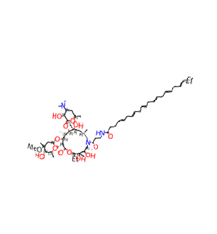 CCC=CCC=CCC=CCC=CCC=CCC=CCCC(=O)NCCC(=O)N1C[C@H](C)C[C@@](C)(O)[C@H](O[C@@H]2O[C@H](C)C[C@H](N(C)C)[C@H]2O)[C@@H](C)[C@H](O[C@H]2C[C@@](C)(OC)[C@@H](O)[C@H](C)O2)[C@@H](C)C(=O)O[C@H](CC)[C@@](C)(O)[C@H](O)[C@H]1C